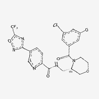 O=C(NC[C@H]1COCCN1C(=O)c1cc(Cl)cc(Cl)c1)c1ccc(-c2noc(C(F)(F)F)n2)cn1